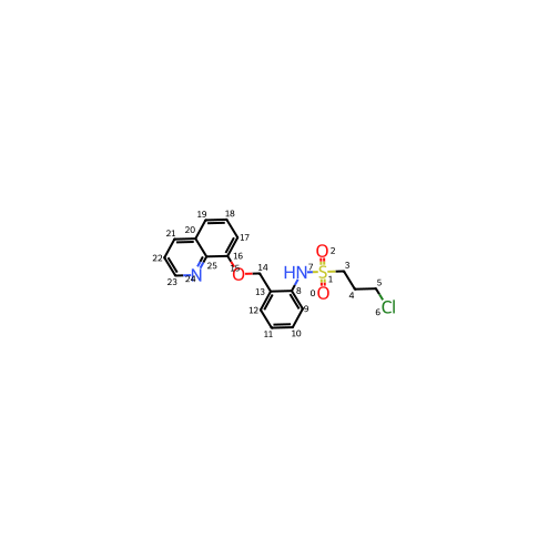 O=S(=O)(CCCCl)Nc1ccccc1COc1cccc2cccnc12